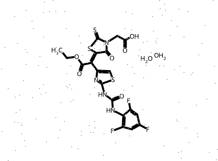 CCOC(=O)/C(=C1\SC(=S)N(CC(=O)O)C1=O)c1csc(NC(=O)Nc2c(F)cc(F)cc2F)n1.O.O